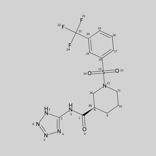 O=C(Nc1nnn[nH]1)[C@@H]1CCCN(S(=O)(=O)c2cccc(C(F)(F)F)c2)C1